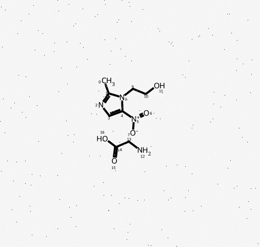 Cc1ncc([N+](=O)[O-])n1CCO.NCC(=O)O